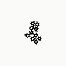 C1=CCCC([Si](c2ccccc2)(c2ccccc2)c2cccc(-c3cc(C4=CC([Si](C5=CCCC=C5)(c5ccccc5)c5ccccc5)=CCC4)nc(C4CC=CCC4)n3)c2)=C1